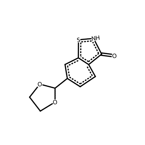 O=c1[nH]sc2cc(C3OCCO3)ccc12